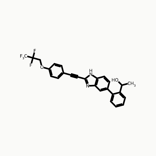 CC(O)c1ccccc1-c1ccc2[nH]c(C#Cc3ccc(OCC(F)(F)C(F)(F)F)cc3)nc2c1